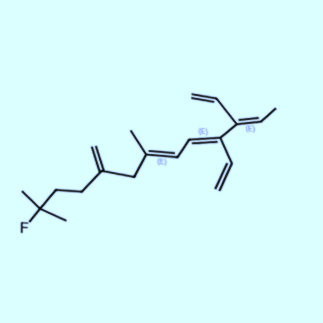 C=CC(=C\C)/C(C=C)=C/C=C(\C)CC(=C)CCC(C)(C)F